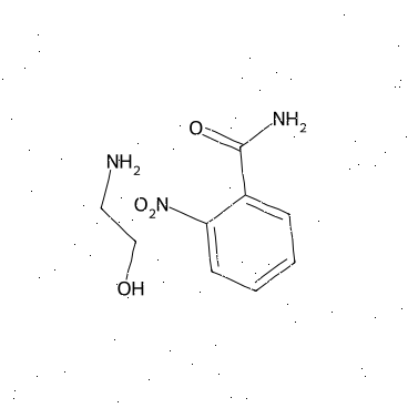 NC(=O)c1ccccc1[N+](=O)[O-].NCCO